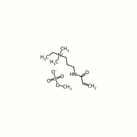 C=CC(=O)NCCC[N+](C)(C)CC.COS(=O)(=O)[O-]